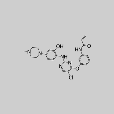 C=CC(=O)Nc1cccc(Oc2nc(Nc3ccc(N4CCN(C)CC4)cc3O)ncc2Cl)c1